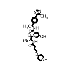 Cc1ncsc1-c1ccc([C@H](C)NC(=O)[C@@H]2C[C@@H](O)CN2C(=O)[C@@H](NC(=O)CCCOC2CCNCC2)C(C)(C)C)cc1